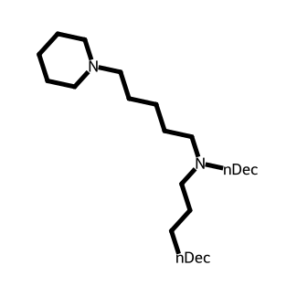 CCCCCCCCCCCCCN(CCCCCCCCCC)CCCCCN1CCCCC1